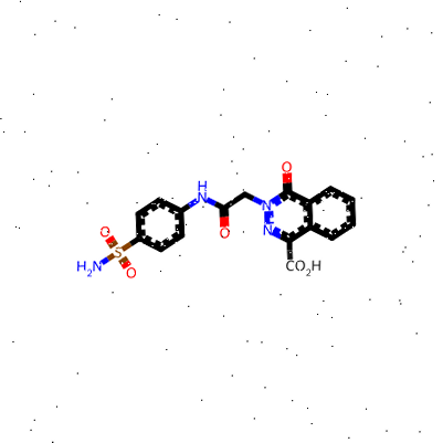 NS(=O)(=O)c1ccc(NC(=O)Cn2nc(C(=O)O)c3ccccc3c2=O)cc1